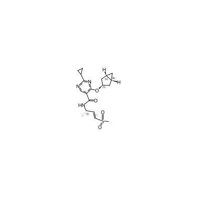 C[C@@H](/C=C/S(C)(=O)=O)NC(=O)c1cnc(C2CC2)nc1O[C@H]1C[C@@H]2C[C@@H]2C1